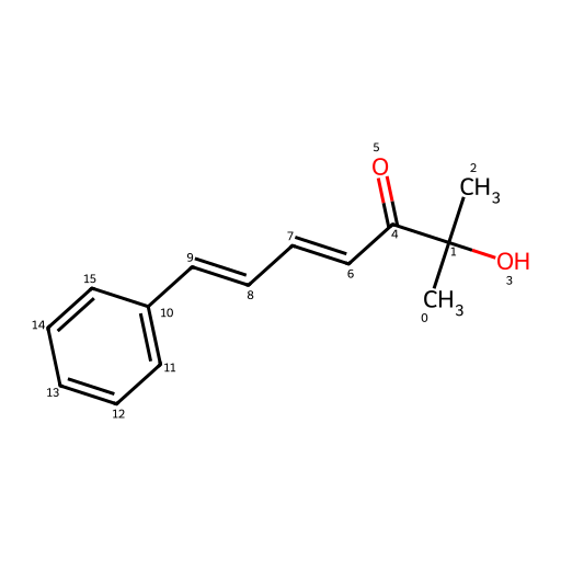 CC(C)(O)C(=O)/C=C/C=C/c1ccccc1